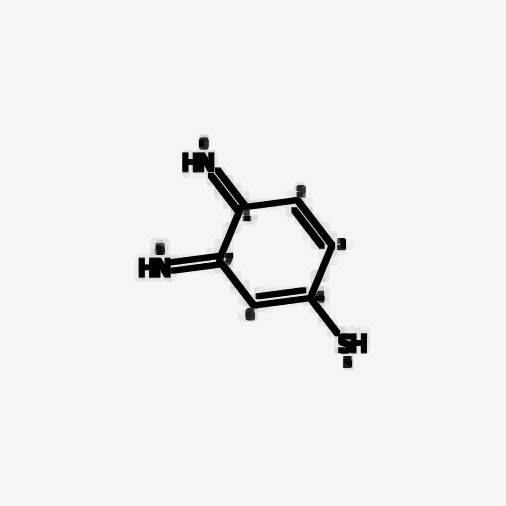 N=C1C=CC(S)=CC1=N